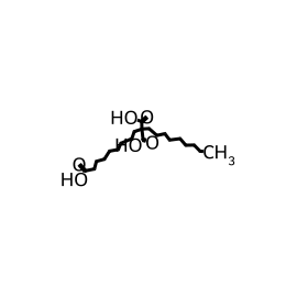 CCCCCCCCCC(CCCCCCCCC(=O)O)(C(=O)O)C(=O)O